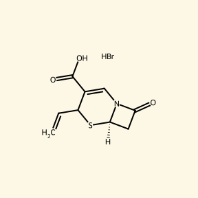 Br.C=CC1S[C@@H]2CC(=O)N2C=C1C(=O)O